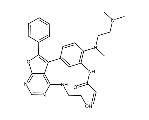 C=CC(=O)Nc1cc(-c2c(-c3ccccc3)oc3ncnc(NCCO)c23)ccc1N(C)CCN(C)C